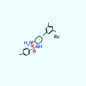 Cc1cc(C)cc(C)c1.Cc1ccc(S(=O)(=O)N[C@H]2CCCC[C@@H]2N)cc1.[Ru]